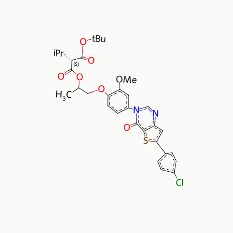 COc1cc(-n2cnc3cc(-c4ccc(Cl)cc4)sc3c2=O)ccc1OCC(C)OC(=O)[C@@H](C(=O)OC(C)(C)C)C(C)C